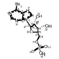 C[C@@]1(n2cnc3c(N)ncnc32)O[C@H](COS(=O)(=O)O)[C@@H](O)[C@H]1O